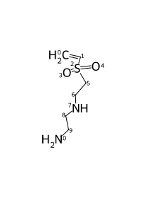 C=CS(=O)(=O)CCNCCN